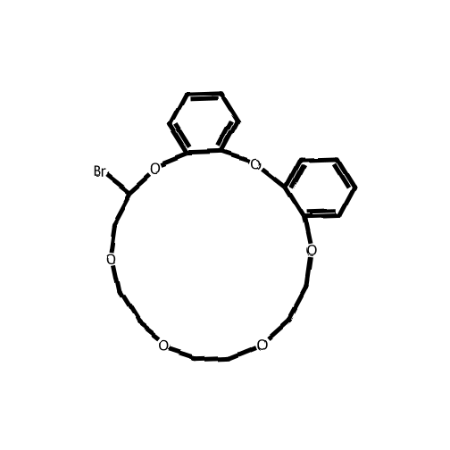 BrC1COCCOCCOCCOc2ccccc2Oc2ccccc2O1